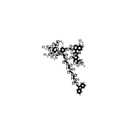 CC[C@@]1(O)C(=O)OCc2c1cc1n(c2=O)Cc2c-1nc1cc(F)c(C)c3c1c2[C@@H](NC(=O)OCc1ccc(O[C@@H]2O[C@H](C(=O)OC)[C@@H](OC(C)=O)[C@H](OC(C)=O)[C@H]2OC(C)=O)c(NC(=O)CNC(=O)CNC(=O)CNC(=O)CNC(=O)CNC(=O)OCC2c4ccccc4-c4ccccc42)c1)CC3